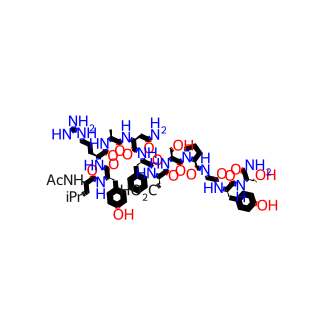 CC(=O)N[C@@H](CC(C)C)C(=O)N[C@@H](Cc1ccc(O)cc1)C(=O)N[C@@H](CCCNC(=N)N)C(=O)N[C@@H](C)C(=O)N[C@@H](CC(N)=O)C(=O)N[C@@H](Cc1ccccc1)C(=O)N[C@@H](CC(=O)O)C(=O)N[C@@H](CO)C(=O)N1CCC[C@H]1C(=O)NCC(=O)N[C@@H](Cc1ccc(O)cc1)C(=O)N[C@@H](CO)C(N)=O